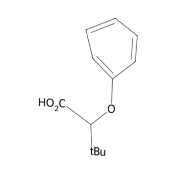 CC(C)(C)C(Oc1ccccc1)C(=O)O